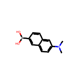 CN(C)c1ccc2cc(B(O)O)ccc2c1